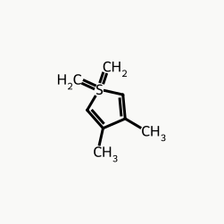 C=S1(=C)C=C(C)C(C)=C1